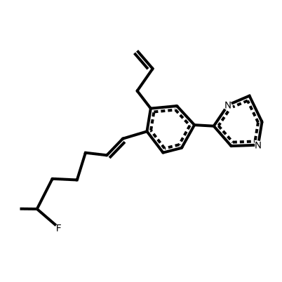 C=CCc1cc(-c2cnccn2)ccc1C=CCCCC(C)F